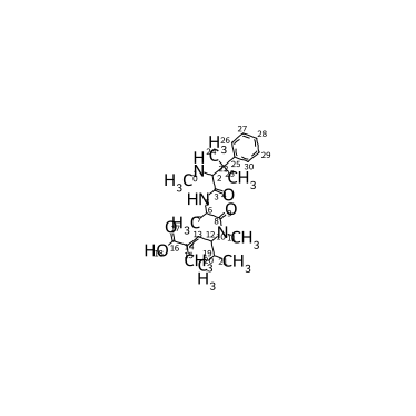 CNC(C(=O)NC(C)C(=O)N(C)C(/C=C(\C)C(=O)O)C(C)C)C(C)(C)c1ccccc1